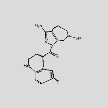 CCCN1CCc2c(N)nn(C(=O)C3CCNc4ccc(F)cc43)c2C1